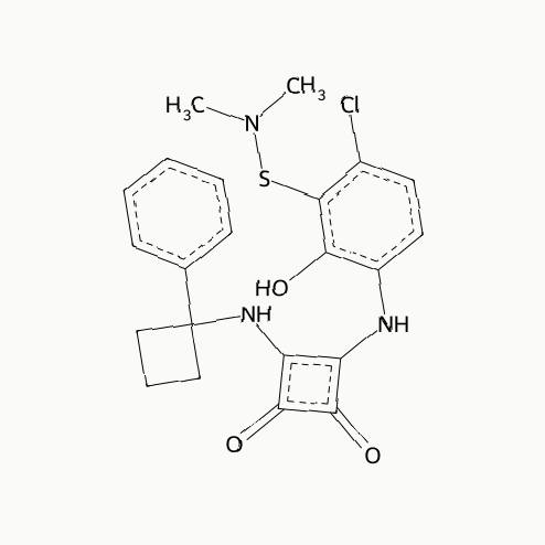 CN(C)Sc1c(Cl)ccc(Nc2c(NC3(c4ccccc4)CCC3)c(=O)c2=O)c1O